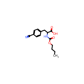 CCCCOC(=O)NC(Cc1ccc(C#N)cc1)C(=O)O